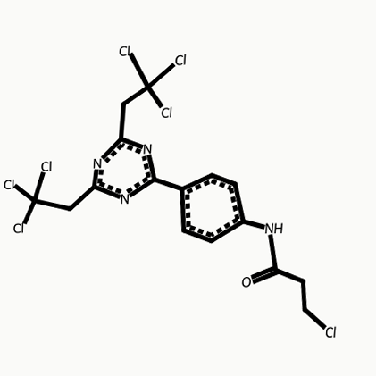 O=C(CCCl)Nc1ccc(-c2nc(CC(Cl)(Cl)Cl)nc(CC(Cl)(Cl)Cl)n2)cc1